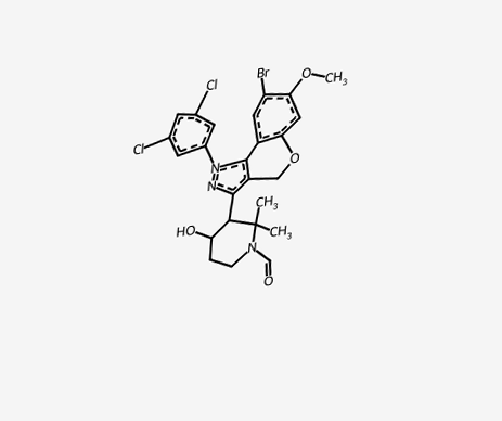 COc1cc2c(cc1Br)-c1c(c(C3C(O)CCN(C=O)C3(C)C)nn1-c1cc(Cl)cc(Cl)c1)CO2